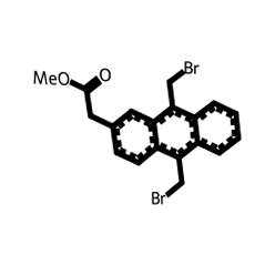 COC(=O)Cc1ccc2c(CBr)c3ccccc3c(CBr)c2c1